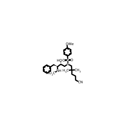 COc1ccc(S(=O)(=O)N(C[C@@H](O)[C@H](Cc2ccccc2)NC(=O)O)CC(C)(C)CCCC#N)cc1